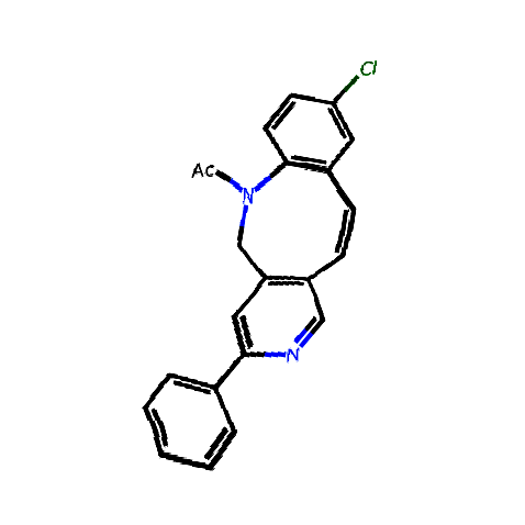 CC(=O)N1Cc2cc(-c3ccccc3)ncc2C=Cc2cc(Cl)ccc21